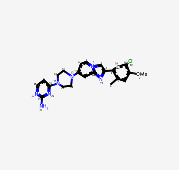 COc1cc(C)c(-c2cn3ccc(N4CCN(c5ccnc(N)n5)CC4)cc3n2)cc1Cl